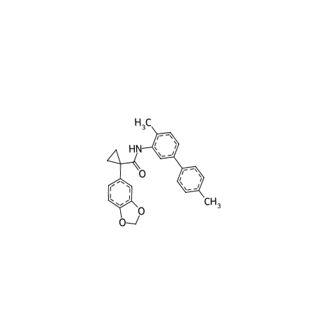 Cc1ccc(-c2ccc(C)c(NC(=O)C3(c4ccc5c(c4)OCO5)CC3)c2)cc1